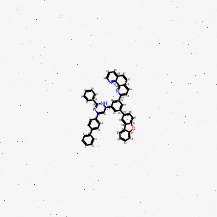 C1=C(c2ccc(-c3ccccc3)cc2)N=C(c2ccccc2)NC1c1cc(-c2ccc3oc4ccccc4c3c2)cc(-c2ccc3ccc4cccnc4c3n2)c1